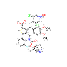 COc1ccc([C@H](Cc2c(Cl)c[n+](O)cc2Cl)c2c(CN(C(=O)O[C@H]3CN4CCC3CC4)c3ccccc3F)csc2C(=O)[O-])cc1OC